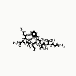 CC[C@H](C)[C@H](NC(=O)[C@H](CCC(N)=O)NC(=O)[C@@H](N)CCSC)C(=O)N[C@@H](Cc1ccccc1)C(=O)N[C@H](C(=O)N[C@@H](CCCCN)C(=O)O)C(C)C